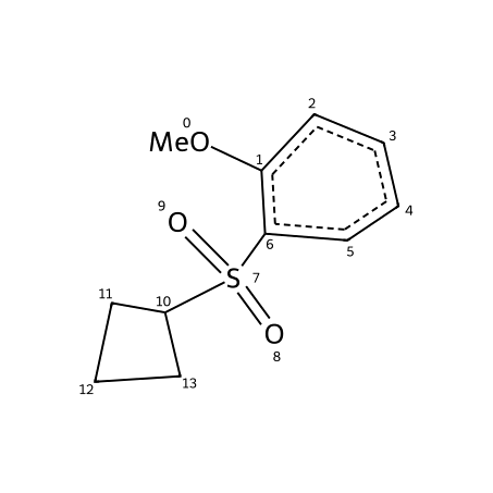 COc1ccccc1S(=O)(=O)C1CCC1